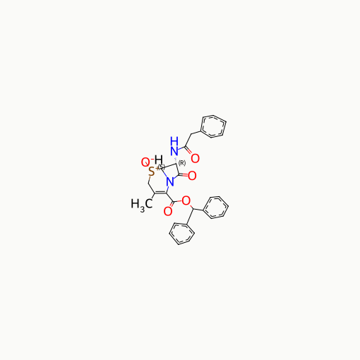 CC1=C(C(=O)OC(c2ccccc2)c2ccccc2)N2C(=O)[C@@H](NC(=O)Cc3ccccc3)[C@@H]2[S+]([O-])C1